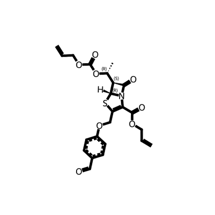 C=CCOC(=O)O[C@H](C)[C@H]1C(=O)N2C(C(=O)OCC=C)=C(COc3ccc(C=O)cc3)S[C@H]12